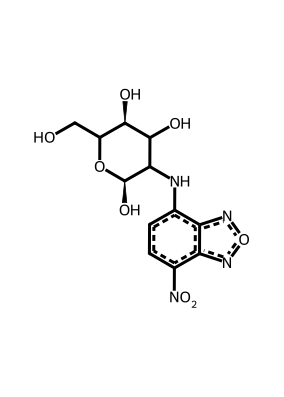 O=[N+]([O-])c1ccc(NC2C(O)[C@H](O)C(CO)O[C@@H]2O)c2nonc12